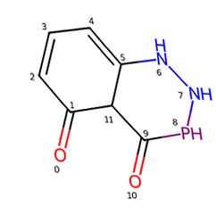 O=C1C=CC=C2NNPC(=O)C12